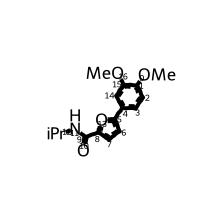 COc1ccc(-c2ccc(C(=O)NC(C)C)o2)cc1OC